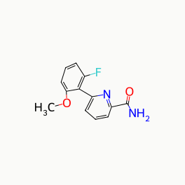 COc1cccc(F)c1-c1cccc(C(N)=O)n1